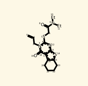 C=CCn1c(SCC(=O)N(CC)CC)nc2sc3c(c2c1=O)CCCC3